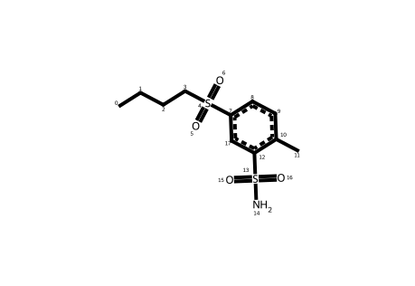 CCCCS(=O)(=O)c1ccc(C)c(S(N)(=O)=O)c1